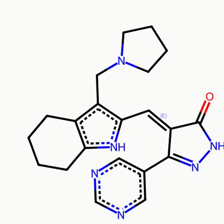 O=C1NN=C(c2cncnc2)/C1=C\c1[nH]c2c(c1CN1CCCC1)CCCC2